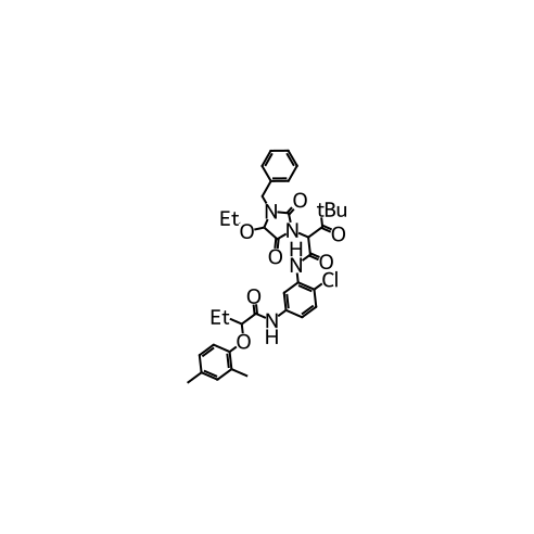 CCOC1C(=O)N(C(C(=O)Nc2cc(NC(=O)C(CC)Oc3ccc(C)cc3C)ccc2Cl)C(=O)C(C)(C)C)C(=O)N1Cc1ccccc1